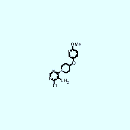 COc1ccc(OC2CCN(c3ncnc(Cl)c3C)CC2)cn1